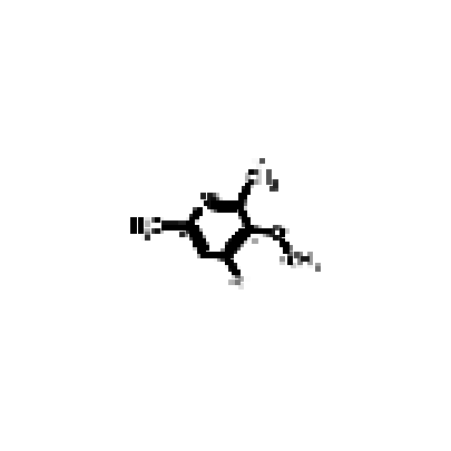 COc1c(Cl)cc(C)nc1C